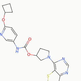 O=C(Nc1ccc(OC2CCC2)nc1)OC1CCN(c2ncnc3ccsc23)C1